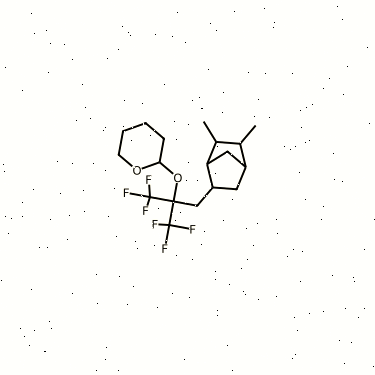 CC1C2CC(CC(OC3CCCCO3)(C(F)(F)F)C(F)(F)F)C(C2)C1C